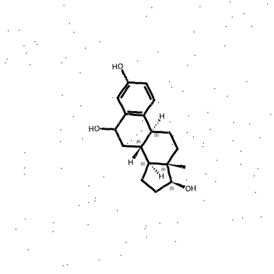 C[C@]12CC[C@@H]3c4ccc(O)cc4C(O)C[C@H]3[C@@H]1CC[C@@H]2O